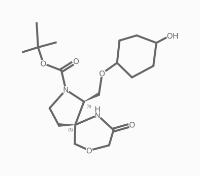 CC(C)(C)OC(=O)N1CC[C@@]2(COCC(=O)N2)[C@@H]1COC1CCC(O)CC1